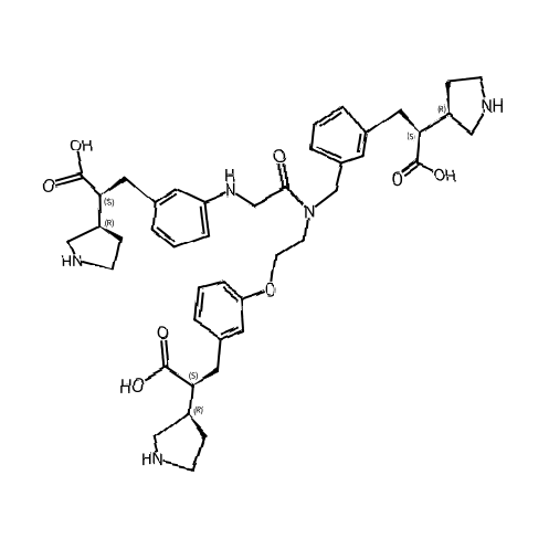 O=C(O)[C@@H](Cc1cccc(CN(CCOc2cccc(C[C@H](C(=O)O)[C@H]3CCNC3)c2)C(=O)CNc2cccc(C[C@H](C(=O)O)[C@H]3CCNC3)c2)c1)[C@H]1CCNC1